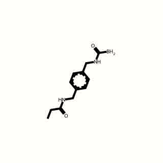 BC(=O)NCc1ccc(CNC(=O)CC)cc1